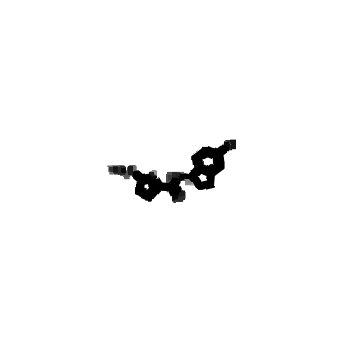 O=C(O)c1ccc(C(=O)N[C@@H]2CCc3cc(Cl)ccc32)s1